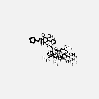 CC[C@H](C)[C@@H]([C@@H](CC(=O)N1CCCC1[C@H](OC)[C@@H](C)C(=O)NCCc1ccccc1)OC)N(C)C(=O)C(CCN)NC(=O)C(C(C)C)N(C)C